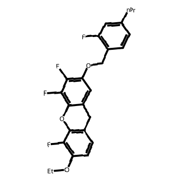 CCCc1ccc(COc2cc3c(c(F)c2F)Oc2c(ccc(OCC)c2F)C3)c(F)c1